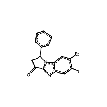 O=C1CC(c2ccccc2)n2c1nc1cc(F)c(Br)cc12